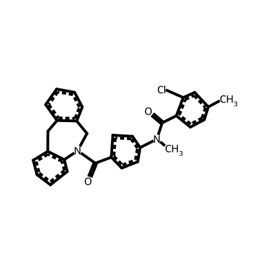 Cc1ccc(C(=O)N(C)c2ccc(C(=O)N3Cc4ccccc4Cc4ccccc43)cc2)c(Cl)c1